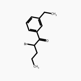 CCCC(Br)C(=O)c1cccc(CC)c1